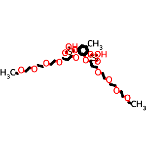 CCOCCOCCOCCOCCC(Oc1ccc(C)cc1OC(CCOCCOCCOCCOCC)S(=O)(=O)O)S(=O)(=O)O